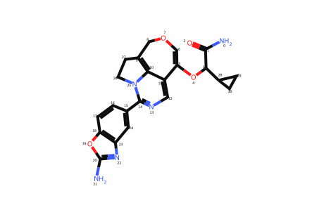 NC(=O)C(OC1=COCC2=C3C1=CN=C(c1ccc4oc(N)nc4c1)N3CC2)C1CC1